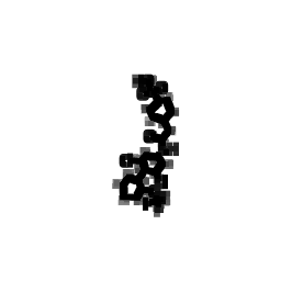 O=C(Cc1ccc(S(=O)(=O)O)cc1)Nc1cc(Cl)c(-c2ccccc2OC(F)(F)F)c(Cl)c1